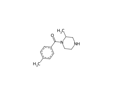 Cc1ccc(C(=O)N2CCNCC2C)cc1